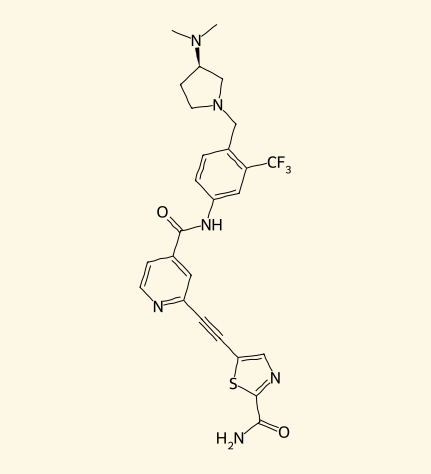 CN(C)[C@@H]1CCN(Cc2ccc(NC(=O)c3ccnc(C#Cc4cnc(C(N)=O)s4)c3)cc2C(F)(F)F)C1